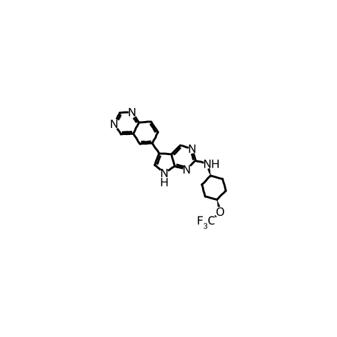 FC(F)(F)O[C@H]1CC[C@@H](Nc2ncc3c(-c4ccc5ncncc5c4)c[nH]c3n2)CC1